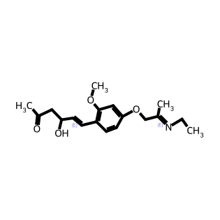 CC/N=C(\C)COc1ccc(/C=C/C(O)CC(C)=O)c(OC)c1